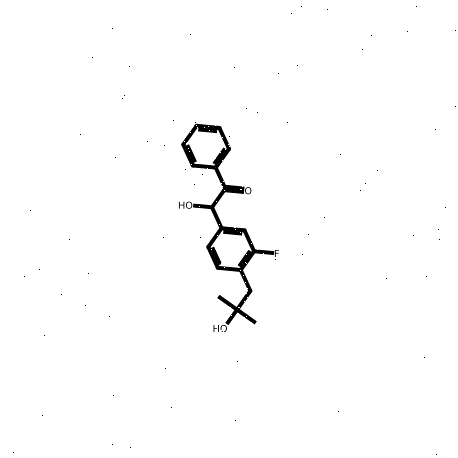 CC(C)(O)Cc1ccc(C(O)C(=O)c2ccccc2)cc1F